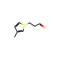 CC1=C[SH](CCC=O)C=C1